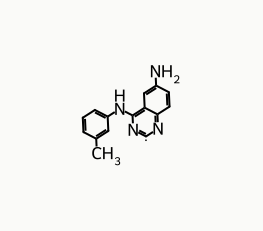 Cc1cccc(Nc2n[c]nc3ccc(N)cc23)c1